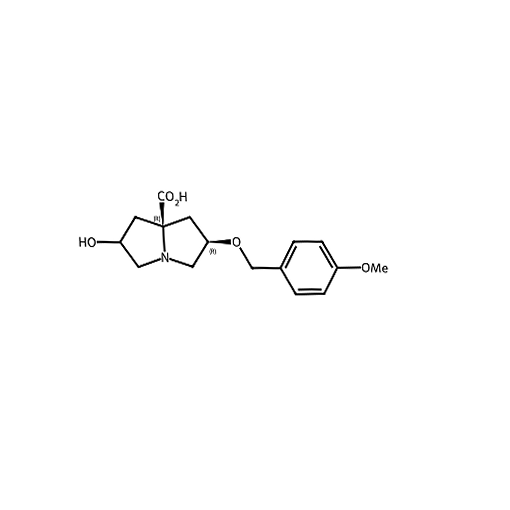 COc1ccc(CO[C@H]2CN3CC(O)C[C@]3(C(=O)O)C2)cc1